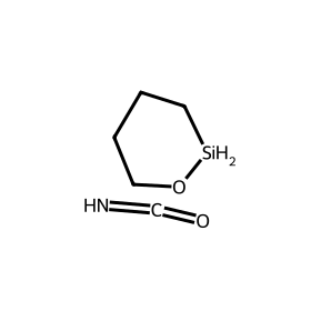 C1CC[SiH2]OC1.N=C=O